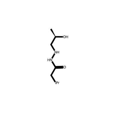 CC(C)CC(=O)NNC[C@@H](C)O